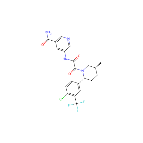 C[C@H]1CC[C@H](c2ccc(Cl)c(C(F)(F)F)c2)N(C(=O)C(=O)Nc2cncc(C(N)=O)c2)C1